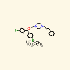 CS(=O)(=O)O.CS(=O)(=O)O.Fc1ccc(C(OCCN2CCN(C/C=C/c3ccccc3)CC2)c2ccc(F)cc2)cc1